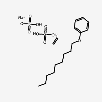 C=C.CCCCCCCCCOc1ccccc1.O=S(=O)(O)O.O=S(=O)([O-])O.[Na+]